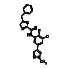 Cn1cc(-c2cc(Cl)c(F)c(NC(=O)C3=NCC(Cc4ccccc4)=N3)c2)cn1